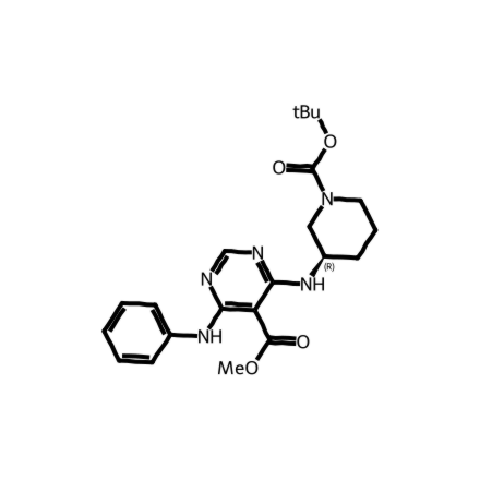 COC(=O)c1c(Nc2ccccc2)ncnc1N[C@@H]1CCCN(C(=O)OC(C)(C)C)C1